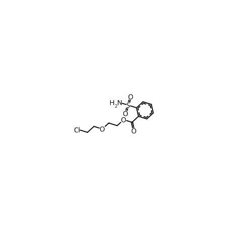 NS(=O)(=O)c1ccccc1C(=O)OCCOCCCl